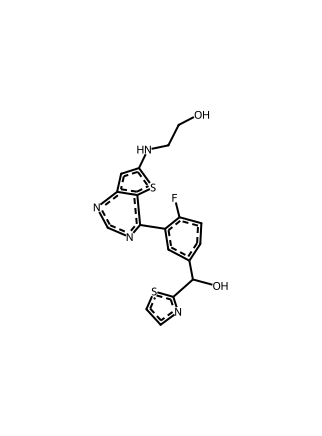 OCCNc1cc2ncnc(-c3cc(C(O)c4nccs4)ccc3F)c2s1